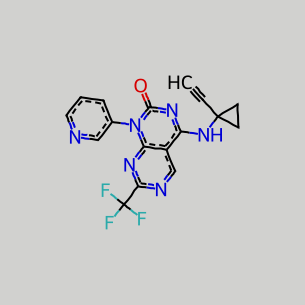 C#CC1(Nc2nc(=O)n(-c3cccnc3)c3nc(C(F)(F)F)ncc23)CC1